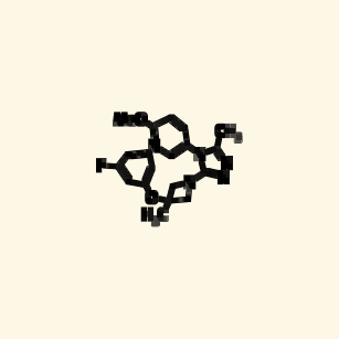 COc1ccc(-n2c(C)nnc2N2CC(C)(Oc3cccc(F)c3)C2)cn1